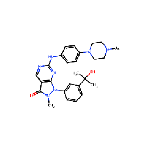 CC(=O)N1CCN(c2ccc(Nc3ncc4c(=O)n(C)n(-c5cccc(C(C)(C)O)c5)c4n3)cc2)CC1